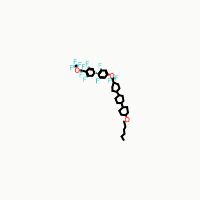 CCCCCCOC1CCC(C2CCC(C3CCC(C(F)(F)Oc4cc(F)c([C@H]5C=C(F)C(C(F)(F)OC(F)(F)F)=C(F)C5)c(F)c4)CC3)CC2)CC1